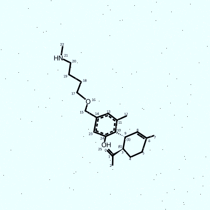 C=C(C)[C@@H]1CCC(C)=C[C@H]1c1c(C)cc(COCCCCNC)cc1O